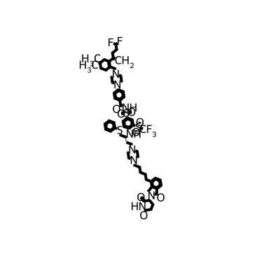 C=C(CCC(F)F)C1=C(CN2CCN(c3ccc(C(=O)NS(=O)(=O)c4ccc(N[C@H](CCN5CCN(CCCCCc6cccc7c6CN(C6CCC(=O)NC6=O)C7=O)CC5)CSc5ccccc5)c(S(=O)(=O)C(F)(F)F)c4)cc3)CC2)CCC(C)(C)C1